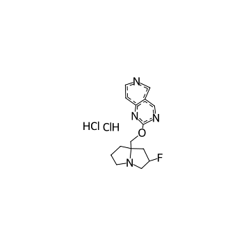 Cl.Cl.FC1CN2CCCC2(COc2ncc3cnccc3n2)C1